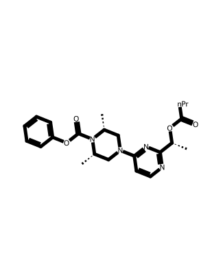 CCCC(=O)O[C@H](C)c1nccc(N2C[C@@H](C)N(C(=O)Oc3ccccc3)[C@@H](C)C2)n1